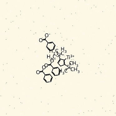 C[Si](C)(C)C1=CCC([Si](C)(C)C)=[C]1[Ti+3].O=C([O-])c1ccccc1.O=C([O-])c1ccccc1.O=C([O-])c1ccccc1